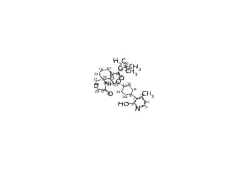 Cc1ccnc(O)c1C1CCC(OCC2N(C(=O)OC(C)(C)C)CCCC23COCC(=O)N3)CC1